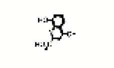 O=C(O)C1CC(O)=c2cccc(O)c2=N1